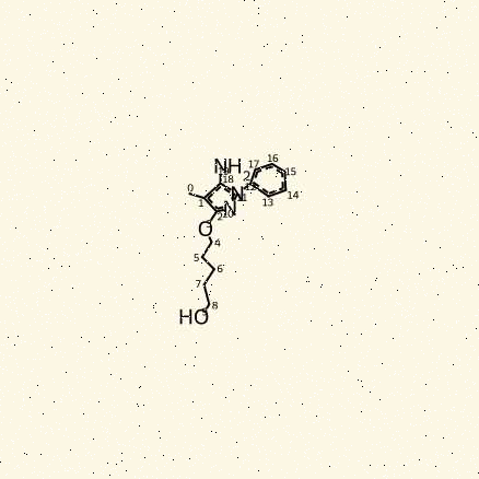 Cc1c(OCCCCCO)nn(-c2ccccc2)c1N